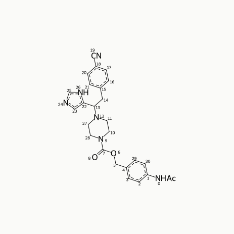 CC(=O)Nc1ccc(COC(=O)N2CCN(C(Cc3ccc(C#N)cc3)c3cnc[nH]3)CC2)cc1